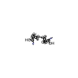 C/C=C/C1=CN(C(=O)c2cc(OC)c(OCCCOc3cc([N+](=O)[O-])c(C(=O)N4C=C(/C=C/C)C[C@H]4CO)cc3OC)cc2[N+](=O)[O-])[C@H](CO)C1